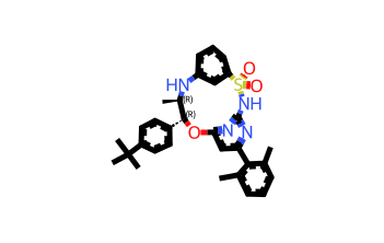 Cc1cccc(C)c1-c1cc2nc(n1)NS(=O)(=O)c1cccc(c1)N[C@H](C)[C@@H](c1ccc(C(C)(C)C)cc1)O2